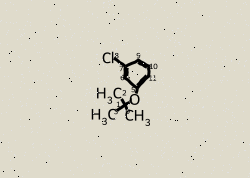 CC(C)(C)Oc1[c]c(Cl)ccc1